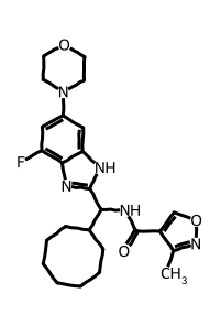 Cc1nocc1C(=O)NC(c1nc2c(F)cc(N3CCOCC3)cc2[nH]1)C1CCCCCCC1